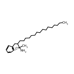 CCCCCCCCCCCCCCCCC(Cc1ccccc1)C(C)(C)N